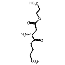 N[C@@H](CC(=O)OCCC(=O)O)C(=O)OCCC(=O)O